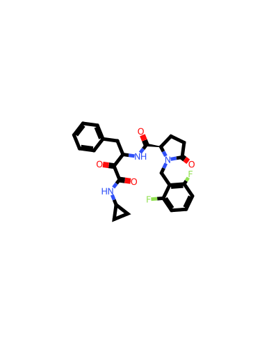 O=C(NC1CC1)C(=O)C(Cc1ccccc1)NC(=O)[C@H]1CCC(=O)N1Cc1c(F)cccc1F